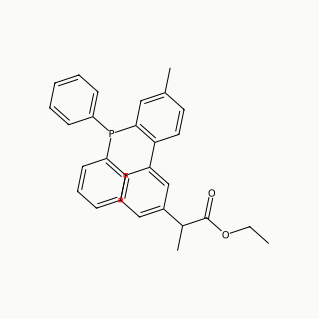 CCOC(=O)C(C)c1cccc(-c2ccc(C)cc2P(c2ccccc2)c2ccccc2)c1